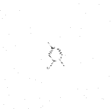 CCc1c[n+](C)ccc1C